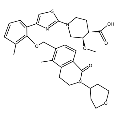 CO[C@H]1CN(c2nc(-c3cccc(C)c3OCc3ccc4c(c3C)CCN(C3CCOCC3)C4=O)cs2)CC[C@H]1C(=O)O